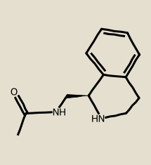 CC(=O)NC[C@@H]1NCCc2ccccc21